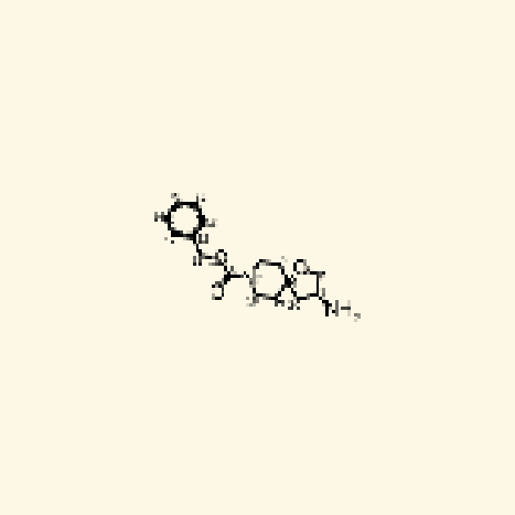 NC1COC2(CCN(C(=O)OCc3ccccc3)CC2)C1